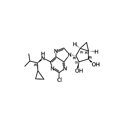 CC(C)[C@@H](Nc1nc(Cl)nc2c1ncn2[C@H]1[C@H](O)[C@H](O)[C@@H]2C[C@@H]21)C1CC1